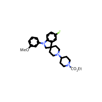 CCOC(=O)N1CCC(N2CCC3(CC2)CN(c2cccc(OC)c2)c2ccc(F)cc23)CC1